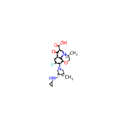 C[C@H]1CN(c2c(F)cc3c(=O)c(C(=O)O)cn4c3c2OC[C@@H]4C)C[C@H]1CNC1CC1